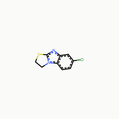 Clc1ccc2c(c1)nc1n2CCS1